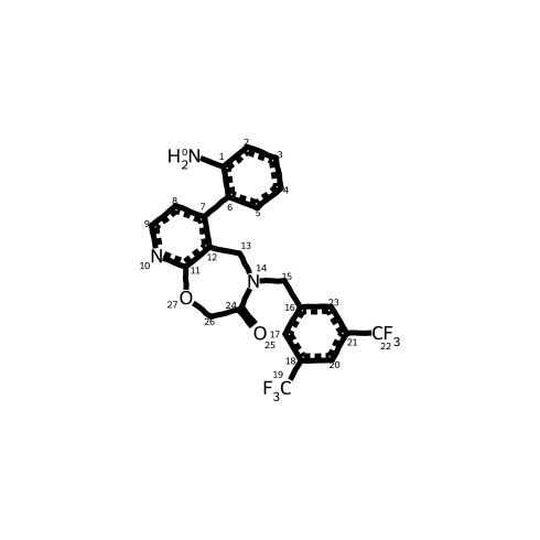 Nc1ccccc1-c1ccnc2c1CN(Cc1cc(C(F)(F)F)cc(C(F)(F)F)c1)C(=O)CO2